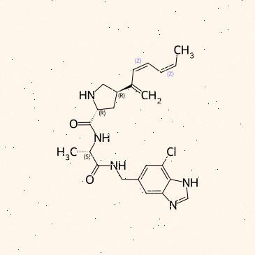 C=C(/C=C\C=C/C)[C@@H]1CN[C@@H](C(=O)N[C@@H](C)C(=O)NCc2cc(Cl)c3[nH]cnc3c2)C1